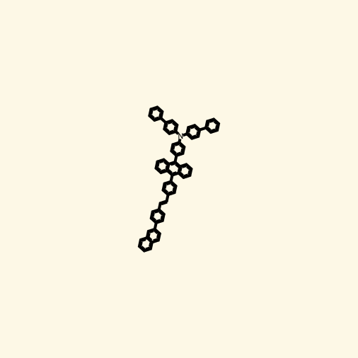 C(=C\c1ccc(-c2c3ccccc3c(-c3ccc(N(c4ccc(-c5ccccc5)cc4)c4ccc(-c5ccccc5)cc4)cc3)c3ccccc23)cc1)/c1ccc(-c2ccc3ccccc3c2)cc1